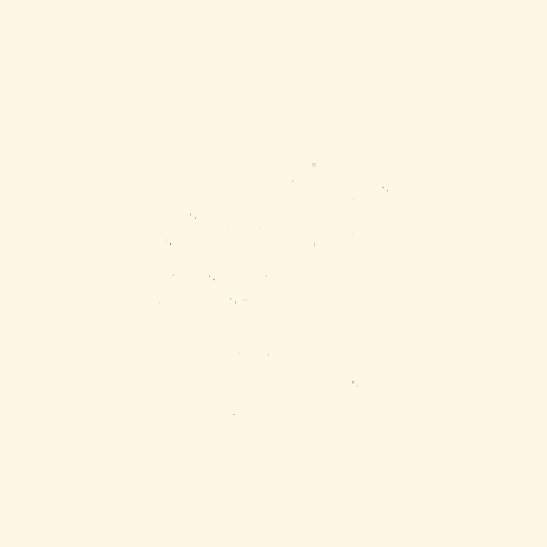 N#Cc1cccc(-c2ccc3nnc(C(F)(F)c4ccc5ncccc5c4)n3n2)c1